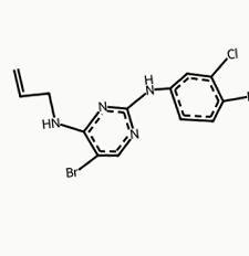 C=CCNc1nc(Nc2ccc(F)c(Cl)c2)ncc1Br